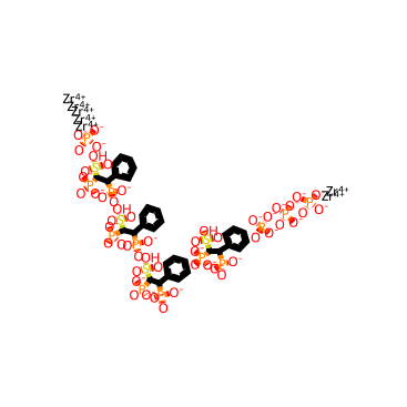 O=P([O-])([O-])C(c1ccccc1)C(P(=O)([O-])[O-])S(=O)(=O)O.O=P([O-])([O-])C(c1ccccc1)C(P(=O)([O-])[O-])S(=O)(=O)O.O=P([O-])([O-])C(c1ccccc1)C(P(=O)([O-])[O-])S(=O)(=O)O.O=P([O-])([O-])C(c1ccccc1)C(P(=O)([O-])[O-])S(=O)(=O)O.O=P([O-])([O-])[O-].O=P([O-])([O-])[O-].O=P([O-])([O-])[O-].O=P([O-])([O-])[O-].[Zr+4].[Zr+4].[Zr+4].[Zr+4].[Zr+4].[Zr+4].[Zr+4]